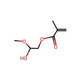 C=C(C)C(=O)OCC(O)OC